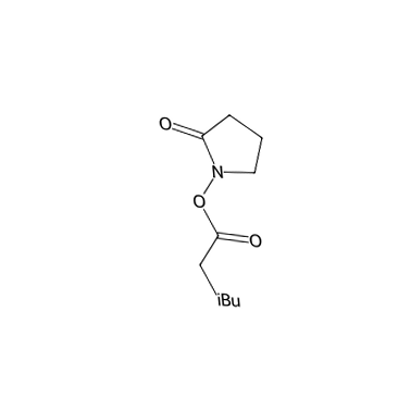 CCC(C)CC(=O)ON1CCCC1=O